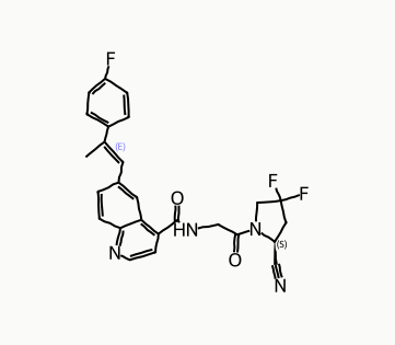 C/C(=C\c1ccc2nccc(C(=O)NCC(=O)N3CC(F)(F)C[C@H]3C#N)c2c1)c1ccc(F)cc1